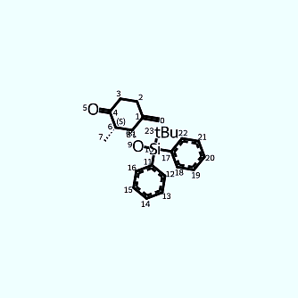 C=C1CCC(=O)[C@@H](C)[C@H]1O[Si](c1ccccc1)(c1ccccc1)C(C)(C)C